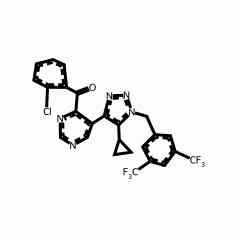 O=C(c1ccccc1Cl)c1ncncc1-c1nnn(Cc2cc(C(F)(F)F)cc(C(F)(F)F)c2)c1C1CC1